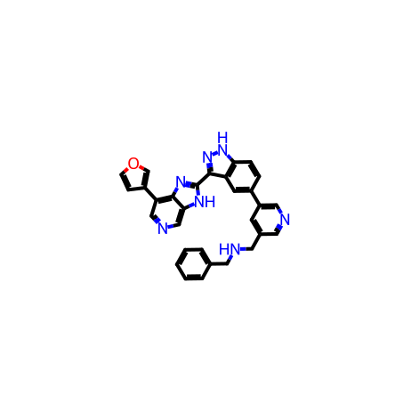 c1ccc(CNCc2cncc(-c3ccc4[nH]nc(-c5nc6c(-c7ccoc7)cncc6[nH]5)c4c3)c2)cc1